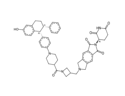 O=C1CC[C@@H](N2C(=O)c3cc4c(cc3C2=O)CN(CC2CN(C(=O)C3CCN(c5ccc([C@@H]6c7ccc(O)cc7CC[C@@H]6c6ccccc6)cc5)CC3)C2)C4)C(=O)N1